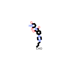 O=CCCCCN1CCN(c2ccc3c(c2)C(=O)N(C2CCC(=O)NC2=O)C3=O)CC1